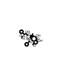 CC(=O)N[C@@H](c1ccccc1)[C@@H](O)C(=O)O[C@H]1C[C@@]2(O)[C@@H](OC(=O)c3ccccc3)C3[C@]4(C)COC4C[C@H](O)[C@@]3(C)C(=O)[C@H](O)C(=C1C)C2(C)C